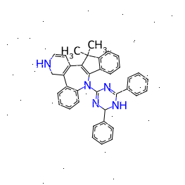 CC1(C)C2=C(c3ccccc31)N(C1=NC(c3ccccc3)NC(c3ccccc3)=N1)c1ccccc1C1=C2C=CNC1